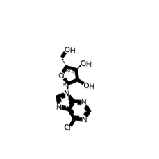 OC[C@H]1O[C@@H](n2cnc3c(Cl)ncnc32)C(O)[C@H]1O